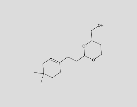 CC1(C)CC=C(CCC2OCCC(CO)O2)CC1